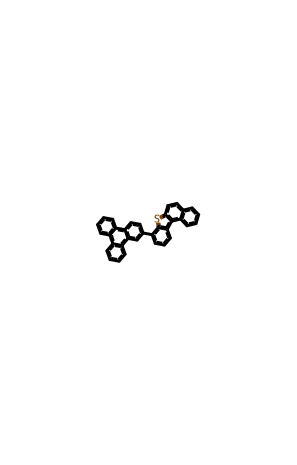 c1ccc2c(c1)ccc1sc3c(-c4ccc5c6ccccc6c6ccccc6c5c4)cccc3c12